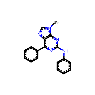 CC(C)n1cnc2c(-c3ccccc3)nc(Nc3ccccc3)nc21